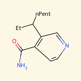 CCCCCC(CC)c1cnccc1C(N)=O